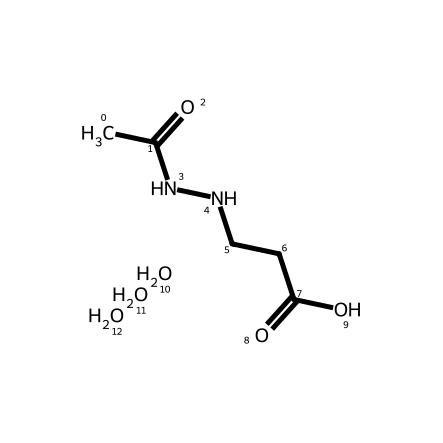 CC(=O)NNCCC(=O)O.O.O.O